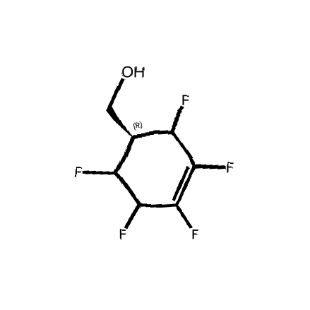 OC[C@H]1C(F)C(F)=C(F)C(F)C1F